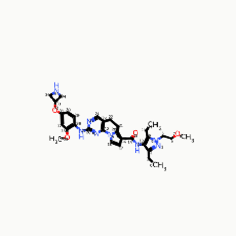 CCc1nn(CCOC)c(CC)c1NC(=O)c1ccn2c1CCc1cnc(Nc3ccc(OC4CNC4)cc3OC)nc1-2